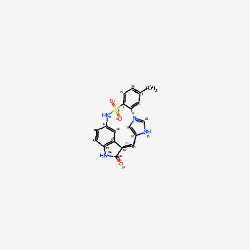 Cc1ccc(S(=O)(=O)Nc2ccc3c(c2)/C(=C\c2cnc[nH]2)C(=O)N3)cc1